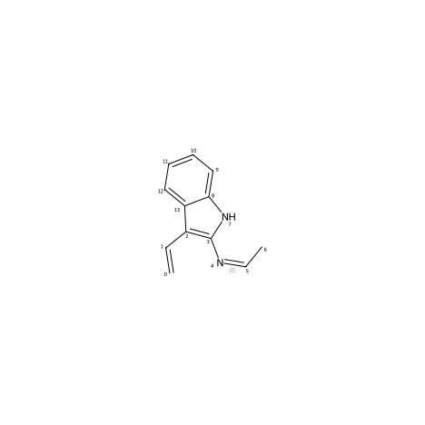 C=Cc1c(/N=C\C)[nH]c2ccccc12